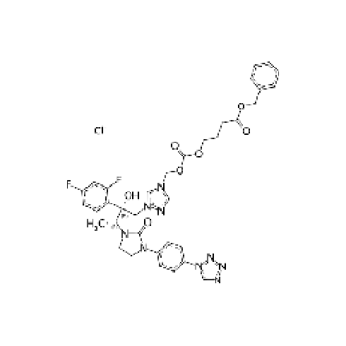 C[C@@H](N1CCN(c2ccc(-n3cnnn3)cc2)C1=O)[C@](O)(C[n+]1cn(COC(=O)OCCCC(=O)OCc2ccccc2)cn1)c1ccc(F)cc1F.[Cl-]